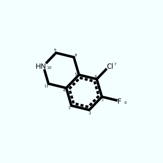 Fc1ccc2c(c1Cl)CCNC2